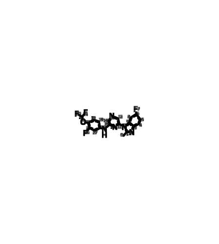 Cc1nc2ccc(F)cc2n1-c1cncc(Nc2ccc(OC(F)F)c(F)c2)n1